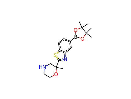 CC1(c2nc3cc(B4OC(C)(C)C(C)(C)O4)ccc3s2)CNCCO1